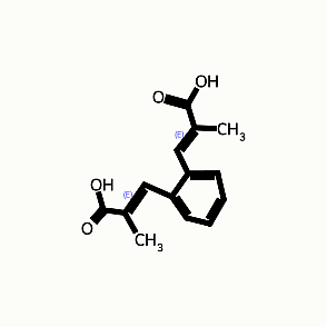 C/C(=C\c1ccccc1/C=C(\C)C(=O)O)C(=O)O